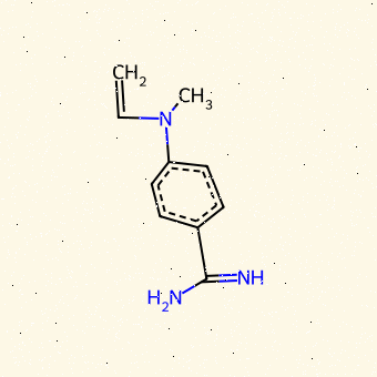 C=CN(C)c1ccc(C(=N)N)cc1